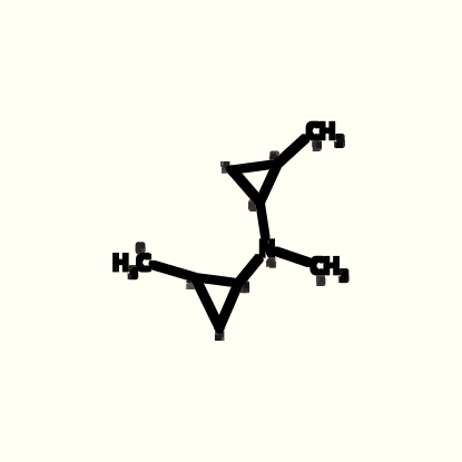 CC1CC1N(C)C1CC1C